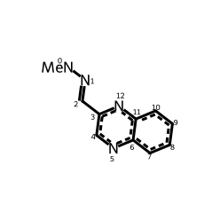 CNN=Cc1cnc2ccccc2n1